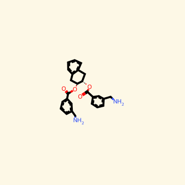 NCc1cccc(C(=O)O[C@H]2Cc3ccccc3C[C@H]2OC(=O)c2cccc(CN)c2)c1